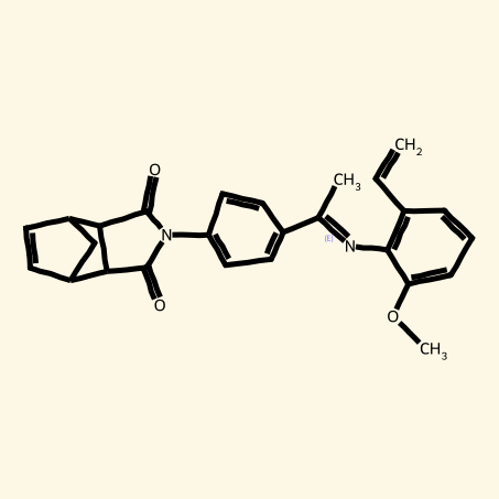 C=Cc1cccc(OC)c1/N=C(\C)c1ccc(N2C(=O)C3C4C=CC(C4)C3C2=O)cc1